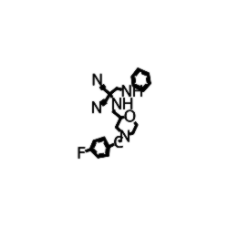 N#CC(C#N)(CNc1ccccc1)NCC1CN(Cc2ccc(F)cc2)CCO1